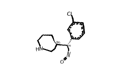 O=N[C@@H](c1cccc(Cl)c1)[C@@H]1CCCNC1